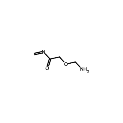 C=NC(=O)COCN